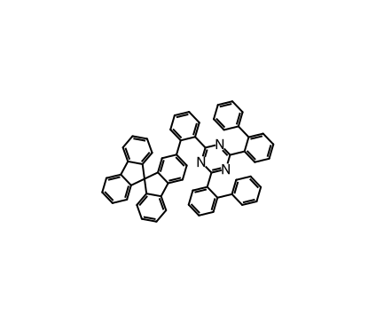 c1ccc(-c2ccccc2-c2nc(-c3ccccc3-c3ccccc3)nc(-c3ccccc3-c3ccc4c(c3)C3(c5ccccc5-c5ccccc53)c3ccccc3-4)n2)cc1